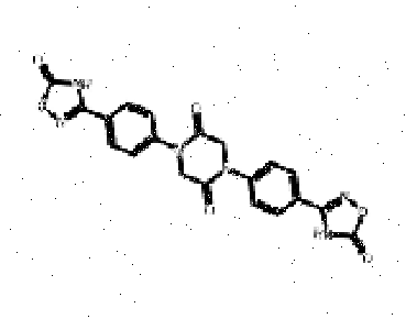 O=C1CN(c2ccc(-c3noc(=O)[nH]3)cc2)C(=O)CN1c1ccc(-c2noc(=O)[nH]2)cc1